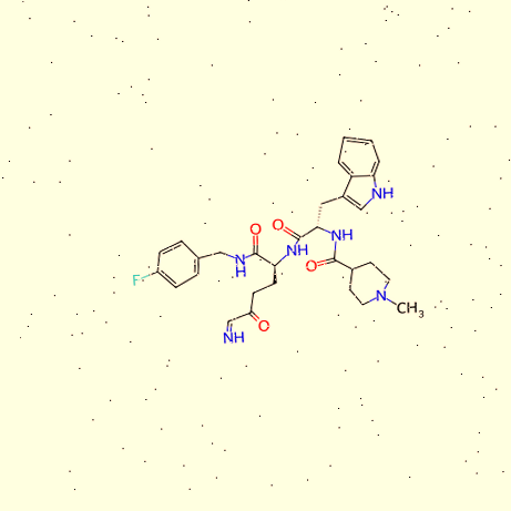 CN1CCC(C(=O)N[C@@H](Cc2c[nH]c3ccccc23)C(=O)N[C@@H](CCC(=O)C=N)C(=O)NCc2ccc(F)cc2)CC1